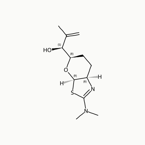 C=C(C)[C@H](O)[C@H]1CC[C@H]2N=C(N(C)C)S[C@H]2O1